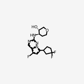 O[C@@H]1COCC[C@H]1Nc1ncc2c(F)cc(C3CCC(F)(F)C3)n2n1